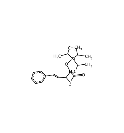 CC(C)[Si](OC1C(=O)NC1C=Cc1ccccc1)(C(C)C)C(C)C